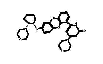 O=c1cc(N2CCOCC2)cc(-c2cccc3c2Sc2ccc(N[C@@H]4CCCC[C@H]4N4CCOCC4)cc2S3)[nH]1